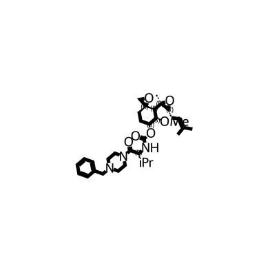 CO[C@@H]1[C@H](OC(=O)N[C@@H](C(=O)N2CCN(Cc3ccccc3)CC2)C(C)C)CC[C@]2(CO2)[C@H]1[C@@]1(C)O[C@@H]1CC=C(C)C